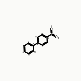 O=I(=O)c1ccc(-c2ccccc2)cc1